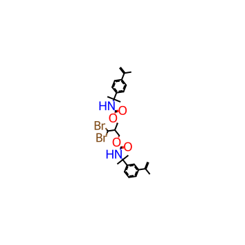 C=C(C)c1ccc(C(C)(C)NC(=O)OCC(COC(=O)NC(C)(C)c2cccc(C(=C)C)c2)C(Br)Br)cc1